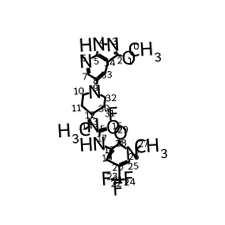 COc1n[nH]c2ncc(N3CC[C@@H](N(C)C(=O)Nc4cc(C(F)(F)F)cn(C)c4=O)[C@@H](F)C3)cc12